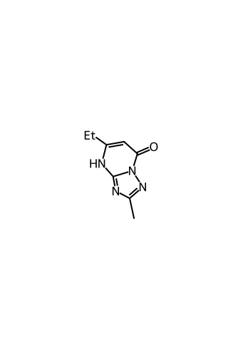 CCc1cc(=O)n2nc(C)nc2[nH]1